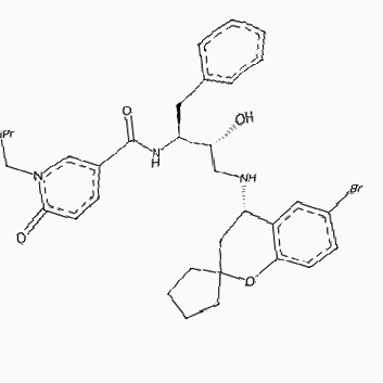 CC(C)Cn1cc(C(=O)N[C@@H](Cc2ccccc2)[C@H](O)CN[C@H]2CC3(CCCC3)Oc3ccc(Br)cc32)ccc1=O